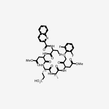 COC(=O)CC(NC(=O)[C@H](C)NC(=O)[C@H](CCC(=O)O)NC(=O)C(CC(=O)OC)NC(=O)C(CC(C)C)NC(=O)c1ccc2ccccc2n1)C(=O)COc1c(F)cccc1F